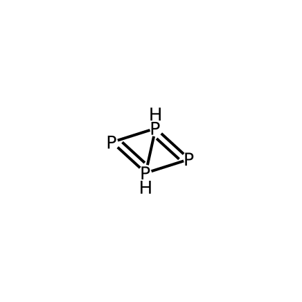 P1=[PH]2P=[PH]12